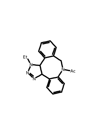 CCN1N=NC2c3ccccc3N(C(C)=O)Cc3ccccc3C21